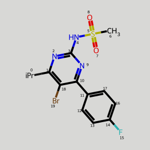 CC(C)c1nc(NS(C)(=O)=O)nc(-c2ccc(F)cc2)c1Br